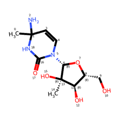 CC1(N)C=CN([C@@H]2O[C@H](CO)[C@@H](O)[C@@]2(C)O)C(=O)N1